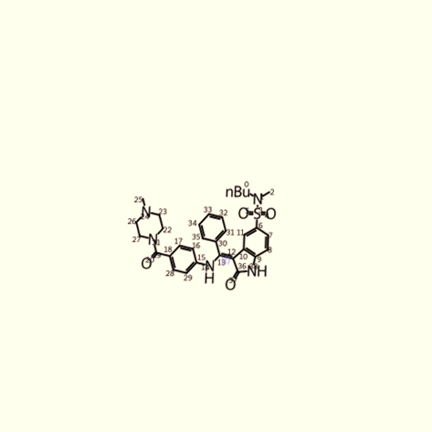 CCCCN(C)S(=O)(=O)c1ccc2c(c1)/C(=C(/Nc1ccc(C(=O)N3CCN(C)CC3)cc1)c1ccccc1)C(=O)N2